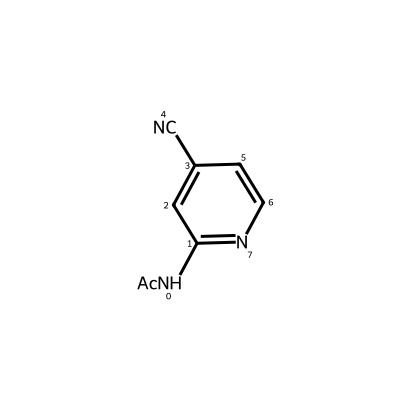 CC(=O)Nc1cc(C#N)ccn1